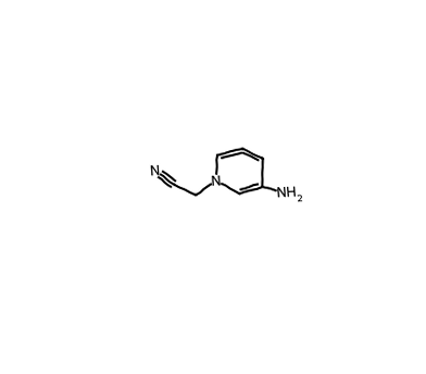 N#CCN1C=C=CC(N)=C1